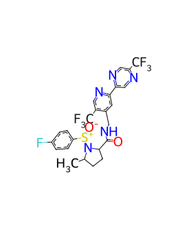 CC1CCC(C(=O)NCc2cc(-c3cnc(C(F)(F)F)cn3)ncc2C(F)(F)F)N1[S+]([O-])c1ccc(F)cc1